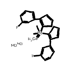 Cl.Cl.[CH3][Hf]([CH3])(=[GeH2])([C]1=C(c2cccc(F)c2)C=CC1)[C]1=C(c2cccc(F)c2)C=CC1